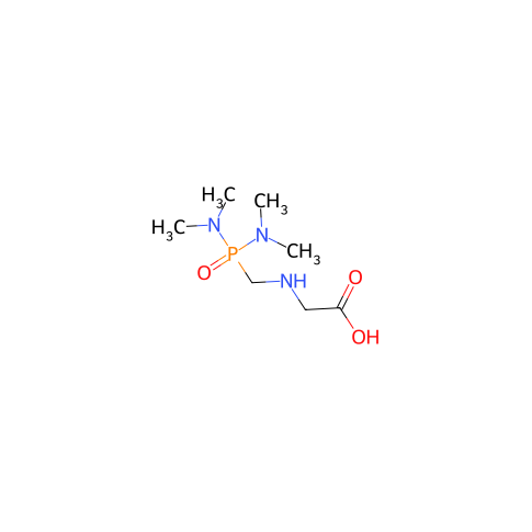 CN(C)P(=O)(CNCC(=O)O)N(C)C